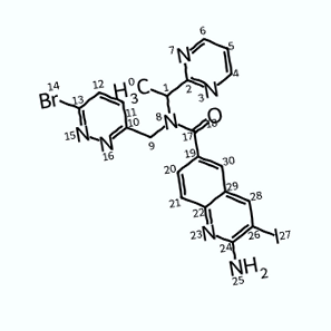 CC(c1ncccn1)N(Cc1ccc(Br)nn1)C(=O)c1ccc2nc(N)c(I)cc2c1